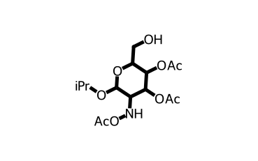 CC(=O)ONC1C(OC(C)C)OC(CO)C(OC(C)=O)C1OC(C)=O